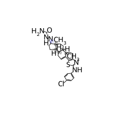 C[C@]12CCc3nc(Nc4ccc(Cl)cc4)sc3C1=CC[C@@H]1[C@@H]2CC[C@]2(C)/C(=N/NC(N)=O)CC[C@@H]12